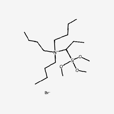 CCCC[N+](CCCC)(CCCC)C(CC)[Si](OC)(OC)OC.[Br-]